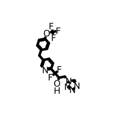 OC(Cn1cnnn1)C(F)(F)c1ccc(Cc2ccc(OC(F)(F)F)cc2)cn1